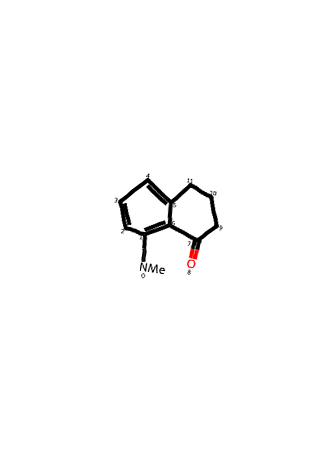 CNc1cccc2c1C(=O)CCC2